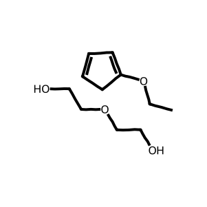 CCOC1=CC=CC1.OCCOCCO